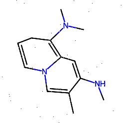 CNC1=CC2=C(N(C)C)CC=CN2C=C1C